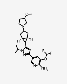 CO[C@@H]1CCN(C2C[C@@H]3[C@H](C2)[C@@H]3c2cc(-c3cnc(N)c(OC(F)F)c3)nn2C(C)C)C1